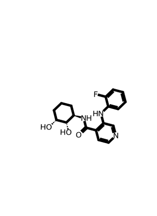 O=C(N[C@@H]1CCC[C@@H](O)[C@H]1O)c1ccncc1Nc1ccccc1F